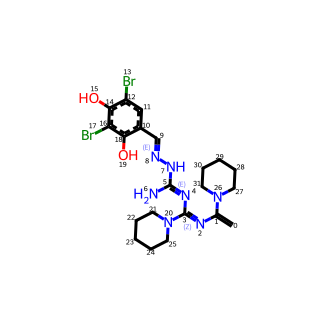 C=C(/N=C(\N=C(/N)N/N=C/c1cc(Br)c(O)c(Br)c1O)N1CCCCC1)N1CCCCC1